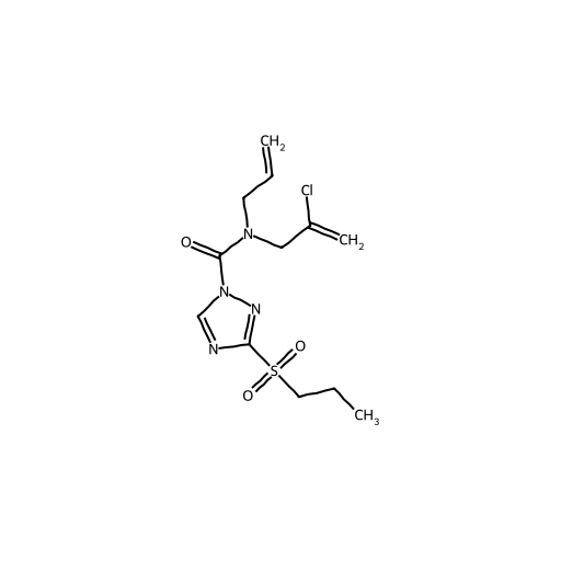 C=CCN(CC(=C)Cl)C(=O)n1cnc(S(=O)(=O)CCC)n1